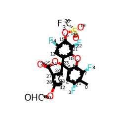 Cc1c(F)cc2c(c1F)Oc1c(cc(F)c(OS(=O)(=O)C(F)(F)F)c1F)C21OC(=O)c2cc(OC=O)ccc21